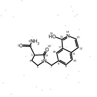 NC(=O)C1CCN(Cc2ccc3ccnc(O)c3c2)C1=O